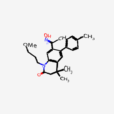 COCCCN1C(=O)CC(C)(C)c2cc(-c3ccc(C)cc3)c(/C(C)=N/O)cc21